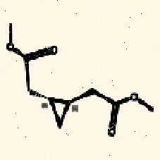 COC(=O)C[C@H]1C[C@@H]1CC(=O)OC